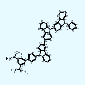 CC(C)c1cc(-c2ccc(-n3c4ccccc4c4cc(-c5ccc6c(c5)c5ccccc5n6-c5ccc6c(c5)c5ncncc5n6-c5ccccc5)ccc43)cc2)cc(C(C)C)n1